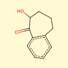 O=C1c2ccccc2CCCC1O